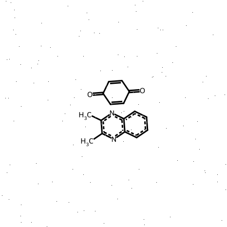 Cc1nc2ccccc2nc1C.O=C1C=CC(=O)C=C1